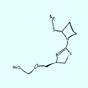 COCOC[C@@H]1CSC(N2CCC2SC(C)=O)=N1